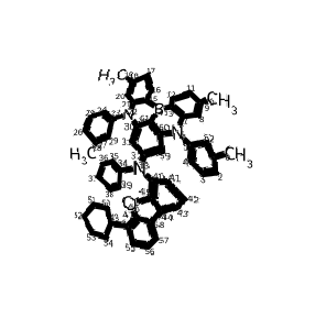 Cc1cccc(N2c3cc(C)ccc3B3c4ccc(C)cc4N(c4cccc(C)c4)c4cc(N(c5ccccc5)c5cccc6c5oc5c(C7CCCCC7)cccc56)cc2c43)c1